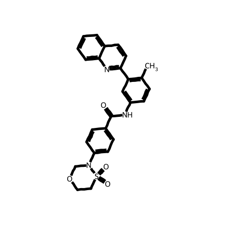 Cc1ccc(NC(=O)c2ccc(N3COCCS3(=O)=O)cc2)cc1-c1ccc2ccccc2n1